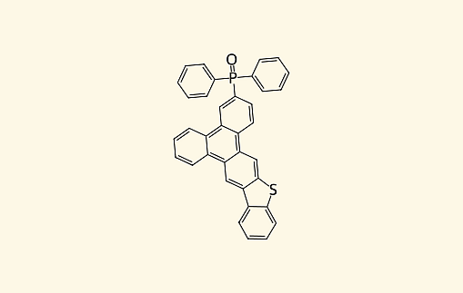 O=P(c1ccccc1)(c1ccccc1)c1ccc2c(c1)c1ccccc1c1cc3c(cc21)sc1ccccc13